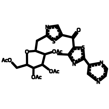 CC(=O)OCC1OC(Cc2ncc(C(=O)c3sc(-c4cnccn4)nc3C)s2)C(OC(C)=O)C(OC(C)=O)C1OC(C)=O